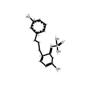 O=P(O)(O)N=C1CC(O)=CC=C1CCCc1cccc(O)c1